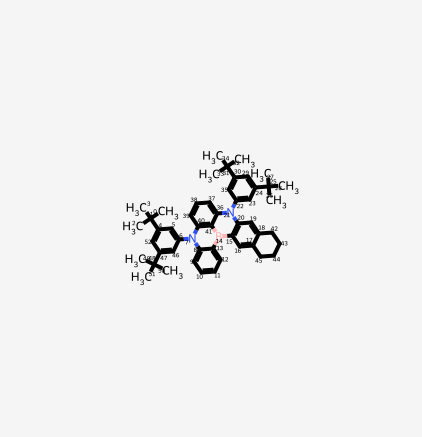 CC(C)(C)c1cc(N2c3ccccc3B3c4cc5c(cc4N(c4cc(C(C)(C)C)cc(C(C)(C)C)c4)c4cccc2c43)CCCC5)cc(C(C)(C)C)c1